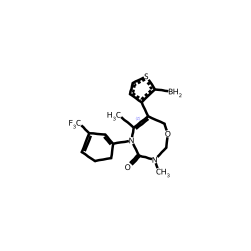 Bc1sccc1/C1=C(\C)N(C2=CC(C(F)(F)F)=CCC2)C(=O)N(C)COC1